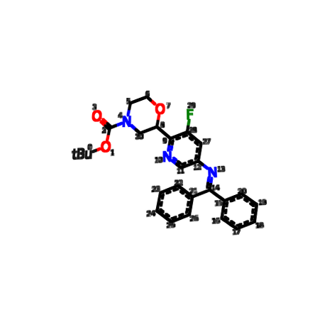 CC(C)(C)OC(=O)N1CCOC(c2ncc(N=C(c3ccccc3)c3ccccc3)cc2F)C1